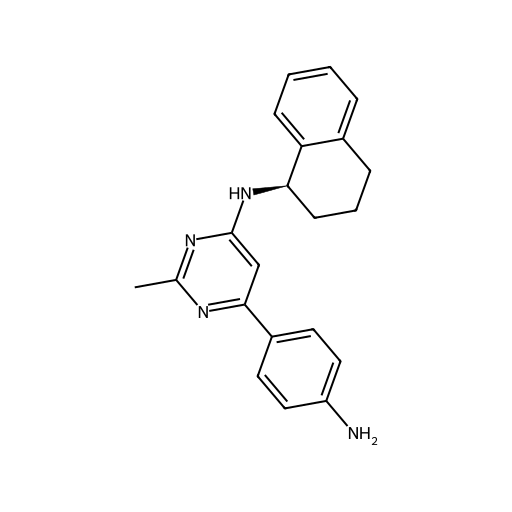 Cc1nc(N[C@@H]2CCCc3ccccc32)cc(-c2ccc(N)cc2)n1